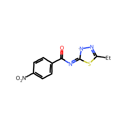 CCC1=N[N]C(=NC(=O)c2ccc([N+](=O)[O-])cc2)S1